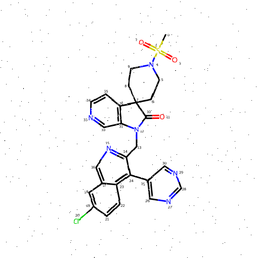 CS(=O)(=O)N1CCC2(CC1)C(=O)N(Cc1ncc3cc(Cl)ccc3c1-c1cncnc1)c1cnccc12